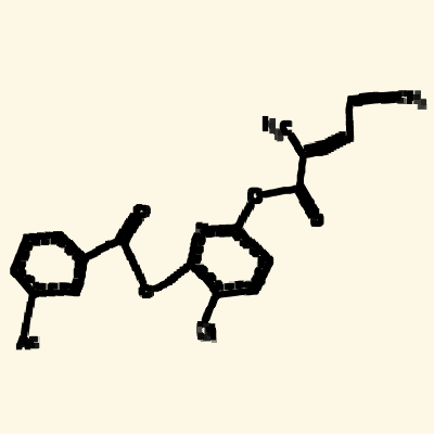 C=C/C=C(\C)C(=O)Oc1ccc(C#N)c(OC(=O)c2cccc(C(C)=O)c2)n1